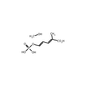 CC(=CC=COP(=O)(O)O)C(=O)O.CO